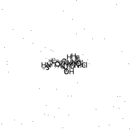 CSNCC1(c2ccc(N3CC(O)CC(NC(=O)Nc4ncc(Cl)cc4F)C3=O)cc2)CC1